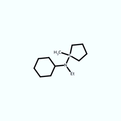 CCN(C1CCCCC1)S1(C)CCCC1